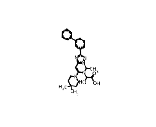 CC1N(C(O)C(=O)O)C(N2CCC(C)(C)CC2)=Cc2nc(-c3cccc(-c4ccccc4)c3)nn21